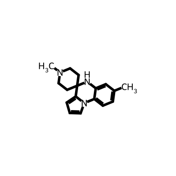 Cc1ccc2c(c1)NC1(CCN(C)CC1)c1cccn1-2